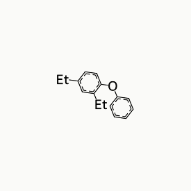 CCc1ccc(Oc2ccccc2)c(CC)c1